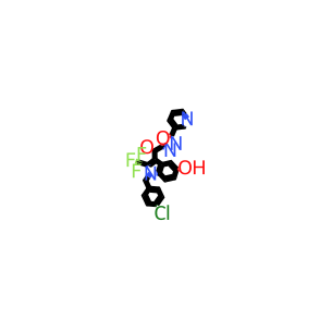 O=C(c1nnc(-c2cccnc2)o1)c1c(C(F)(F)F)n(Cc2ccc(Cl)cc2)c2ccc(O)cc12